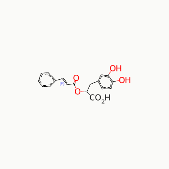 O=C(/C=C/c1ccccc1)OC(Cc1ccc(O)c(O)c1)C(=O)O